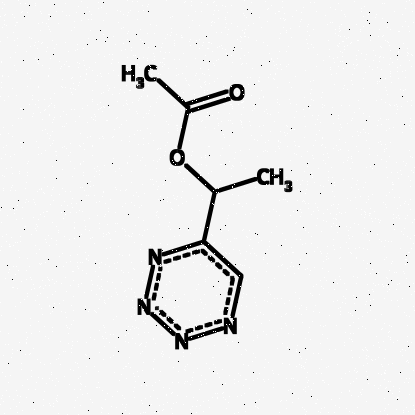 CC(=O)OC(C)c1cnnnn1